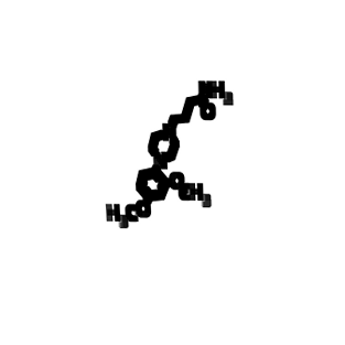 COc1ccc(N2CCN(CCCC(N)=O)CC2)c(OC)c1